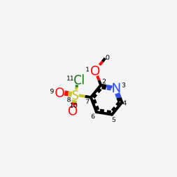 COc1ncccc1S(=O)(=O)Cl